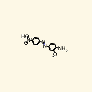 COc1cc(/N=N/c2ccc([N+](=O)O)cc2)ccc1N